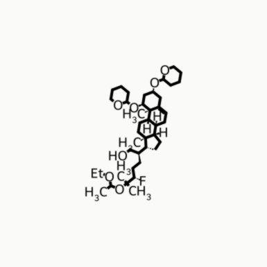 CCOC(C)OC(C)(C)[C@@H](F)CC[C@@H](CO)[C@H]1CC[C@H]2[C@@H]3CC=C4C[C@@H](OC5CCCCO5)C[C@H](OC5CCCCO5)[C@]4(C)[C@H]3CC[C@]12C